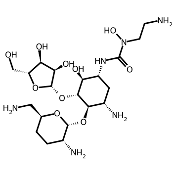 NCCN(O)C(=O)N[C@@H]1C[C@H](N)[C@@H](O[C@H]2O[C@H](CN)CC[C@H]2N)[C@H](O[C@@H]2O[C@H](CO)[C@@H](O)[C@H]2O)[C@H]1O